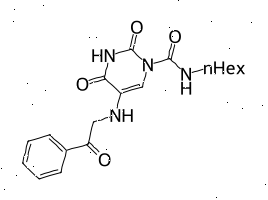 CCCCCCNC(=O)n1cc(NCC(=O)c2ccccc2)c(=O)[nH]c1=O